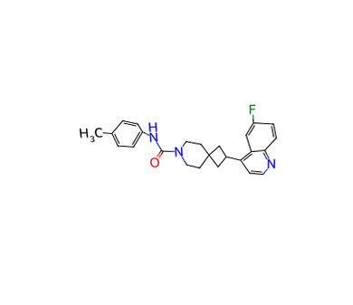 Cc1ccc(NC(=O)N2CCC3(CC2)CC(c2ccnc4ccc(F)cc24)C3)cc1